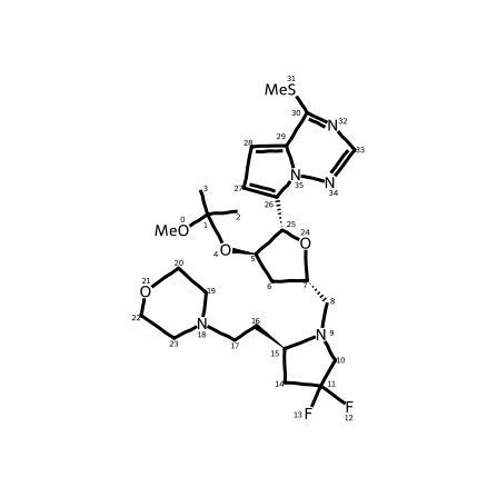 COC(C)(C)O[C@@H]1C[C@@H](CN2CC(F)(F)C[C@H]2CCN2CCOCC2)O[C@H]1c1ccc2c(SC)ncnn12